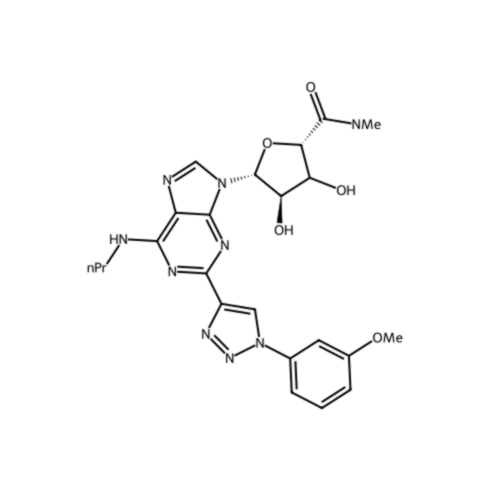 CCCNc1nc(-c2cn(-c3cccc(OC)c3)nn2)nc2c1ncn2[C@@H]1O[C@H](C(=O)NC)C(O)[C@H]1O